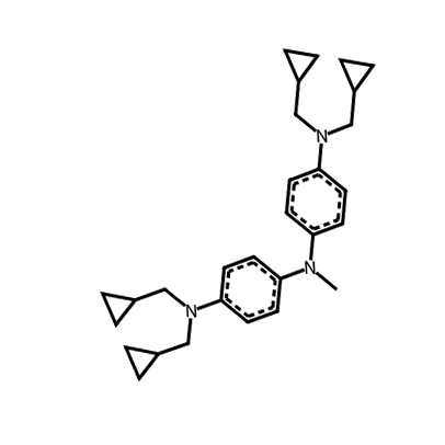 CN(c1ccc(N(CC2CC2)CC2CC2)cc1)c1ccc(N(CC2CC2)CC2CC2)cc1